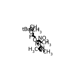 Cc1cn(C)nc1-n1nc(OCC(F)CO[Si](C)(C)C(C)(C)C)c([N+](=O)[O-])c1C